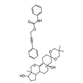 CC1(C)COC2(CCC3=C4C(CC[C@@]3(O)C2)C2CCC(O)C2(C)C[C@@H]4c2ccc(C#CCOC(=O)Nc3ccccc3)cc2)OC1